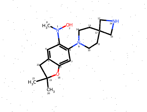 CN(O)c1cc2c(cc1N1CCC3(CC1)CNC3)OC(C)(C)C2